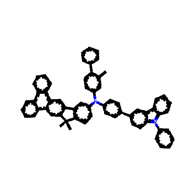 Cc1cc(N(c2ccc(-c3ccc4c(c3)c3ccccc3n4-c3ccccc3)cc2)c2ccc3c(c2)-c2cc4c5ccccc5c5ccccc5c4cc2C3(C)C)ccc1-c1ccccc1